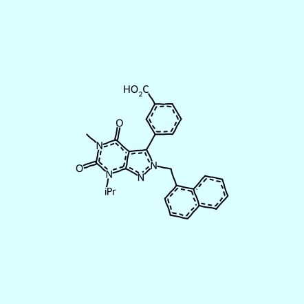 CC(C)n1c(=O)n(C)c(=O)c2c(-c3cccc(C(=O)O)c3)n(Cc3cccc4ccccc34)nc21